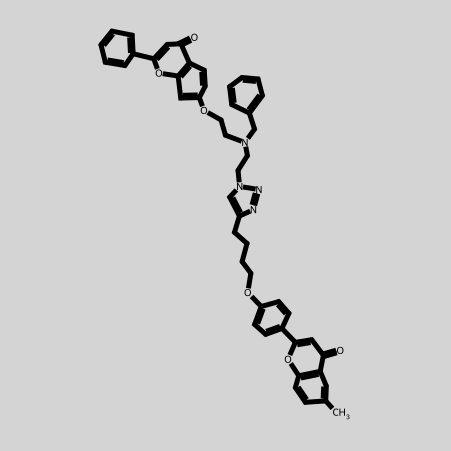 Cc1ccc2oc(-c3ccc(OCCCCc4cn(CCN(CCOc5ccc6c(=O)cc(-c7ccccc7)oc6c5)Cc5ccccc5)nn4)cc3)cc(=O)c2c1